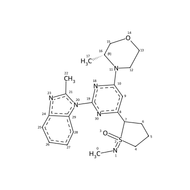 CN=S1(=O)CCCC1c1cc(N2CCOC[C@H]2C)nc(-n2c(C)nc3ccccc32)n1